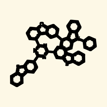 c1ccc(-n2c3ccccc3c3c(-c4ccc5oc6cccc(-c7nc(-c8ccc9c(c8)sc8ccccc89)nc(-c8ccc9c(c8)sc8ccccc89)n7)c6c5c4)cccc32)cc1